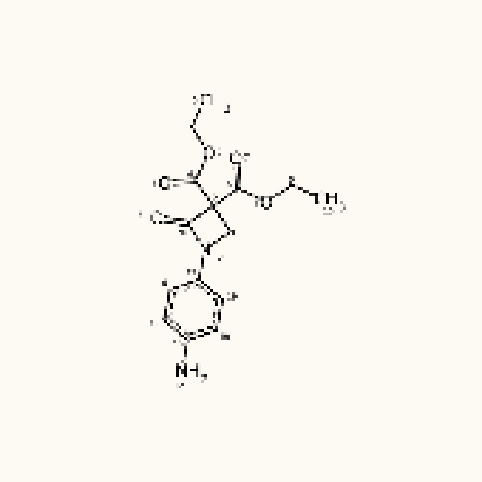 CCOC(=O)C1(C(=O)OCC)CN(c2ccc(N)cc2)C1=O